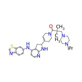 CC(C)N1CCN(CC(C)(C)C(=O)N2CC=C(C3Cc4c(Nc5ccc6ncsc6c5)ccnc4N3)CC2)CC1